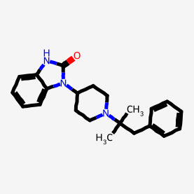 CC(C)(Cc1ccccc1)N1CCC(n2c(=O)[nH]c3ccccc32)CC1